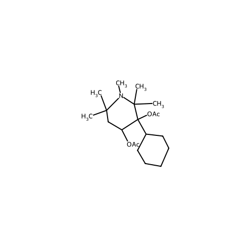 CC(=O)OC1CC(C)(C)N(C)C(C)(C)C1(OC(C)=O)C1CCCCC1